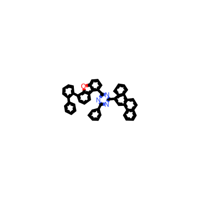 c1ccc(-c2nc(-c3cc4c5ccccc5ccc4c4ccccc34)nc(-c3cccc4oc5c(-c6ccccc6-c6ccccc6)cccc5c34)n2)cc1